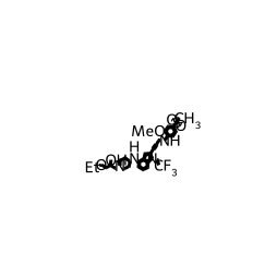 CCOCC(O)CN1CCC(Nc2cccc3c2cc(C#CCNc2ccc(S(C)(=O)=O)cc2OC)n3CC(F)(F)F)CC1